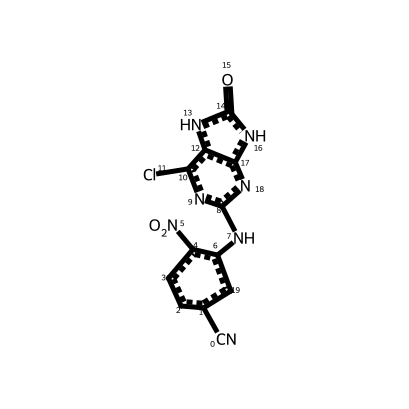 N#Cc1ccc([N+](=O)[O-])c(Nc2nc(Cl)c3[nH]c(=O)[nH]c3n2)c1